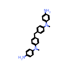 CN(c1ccc(N)cc1)c1ccc(Cc2ccc(N(C)c3ccc(N)cc3)cc2)cc1